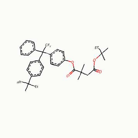 CCCC(C)(CC)c1ccc(C(c2ccccc2)(c2ccc(OC(=O)C(C)(C)CC(=O)OC(C)(C)CC)cc2)C(F)(F)F)cc1